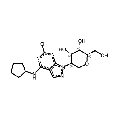 OC[C@H]1OC[C@@H](n2ncc3c(NC4CCCC4)nc(Cl)nc32)[C@H](O)[C@@H]1O